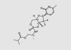 Cc1ccn([C@@H]2O[C@@H]3COP(=O)(N[C@H](C)COC(=O)C(C)C)O[C@H]3C2(F)F)c(=O)n1